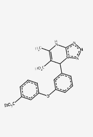 CCOC(=O)c1cccc(Oc2cccc(C3C(C(=O)O)=C(C)Nc4nnnn43)c2)c1